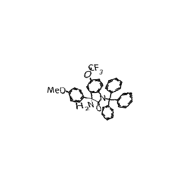 COc1ccc([C@]2(N)C(=O)N(C(c3ccccc3)(c3ccccc3)c3ccccc3)c3ccc(OC(F)(F)F)cc32)cc1